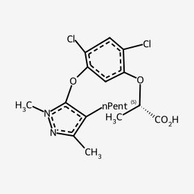 CCCCCc1c(C)nn(C)c1Oc1cc(O[C@@H](C)C(=O)O)c(Cl)cc1Cl